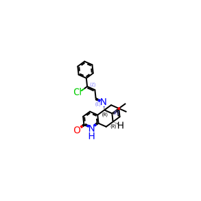 C/C=C1\[C@H]2C=C(C)C[C@]1(/N=C/C=C(\Cl)c1ccccc1)c1ccc(=O)[nH]c1C2